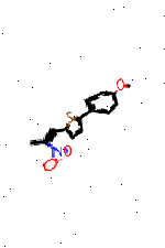 COc1ccc(-c2ccc(/C=C(/C)[N+](=O)[O-])s2)cc1